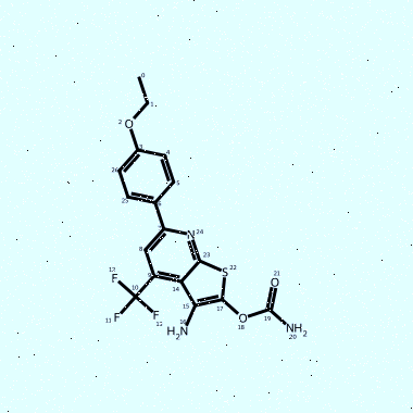 CCOc1ccc(-c2cc(C(F)(F)F)c3c(N)c(OC(N)=O)sc3n2)cc1